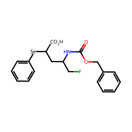 O=C(NC(CF)CC([Se]c1ccccc1)C(=O)O)OCc1ccccc1